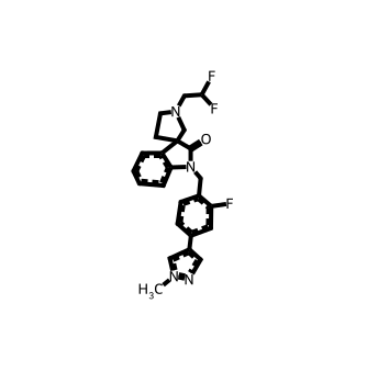 Cn1cc(-c2ccc(CN3C(=O)C4(CCN(CC(F)F)C4)c4ccccc43)c(F)c2)cn1